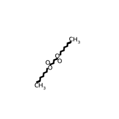 CC=CCCCCCOC(=O)CCC(=O)OCCCCCC=CC